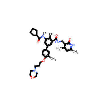 CCN(C(=O)C1CCCC1)c1cc(-c2ccc(OCCCN3CCOCC3)c(C)c2)cc(C(=O)NCc2c(C)cc(C)[nH]c2=O)c1C